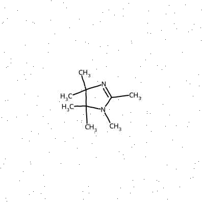 CC1=NC(C)(C)C(C)(C)N1C